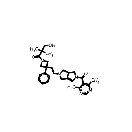 Cc1ncnc(C)c1C(=O)N1C=C2CN(CCC3(c4ccccc4)CN(C(=O)C(C)(C)CO)C3)CC2C1